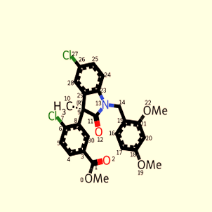 COC(=O)c1ccc(Cl)c([C@]2(C)C(=O)N(Cc3ccc(OC)cc3OC)c3ccc(Cl)cc32)c1